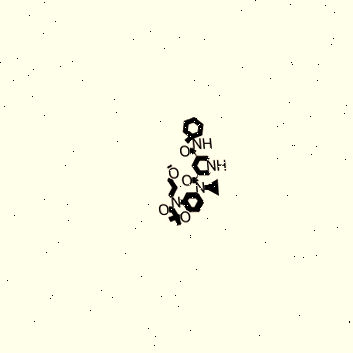 COCCCN1C(=O)C(C)(C)Oc2ccc(N(C(=O)[C@H]3CNC[C@@H](C(=O)NC4(C)CCCCC4)C3)C3CC3)cc21